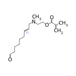 C=C(C)C(=O)OCCN(C)C/C=C/CCCCCC=O